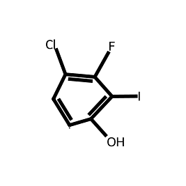 Oc1[c]cc(Cl)c(F)c1I